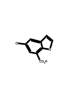 O=C(O)c1cc(Cl)cc2ccoc12